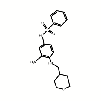 Nc1cc(NS(=O)(=O)c2ccccc2)ccc1NCC1CCOCC1